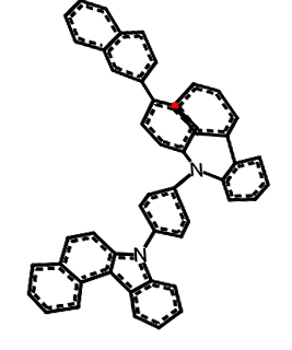 c1ccc(-c2ccccc2N(c2ccc(-c3ccc4ccccc4c3)cc2)c2ccc(-n3c4ccccc4c4c5ccccc5ccc43)cc2)cc1